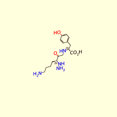 NCCCC[C@H](NN)C(=O)CN[C@@H](Cc1ccc(O)cc1)C(=O)O